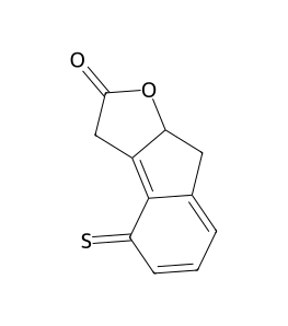 O=C1CC2=C3C(=S)C=CC=C3CC2O1